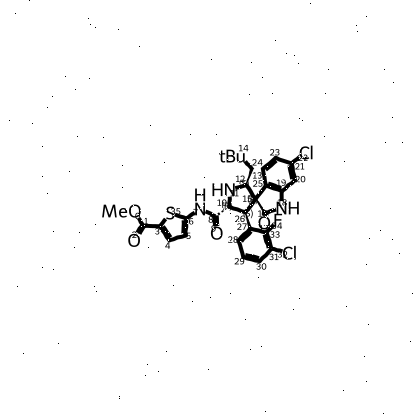 COC(=O)c1ccc(NC(=O)[C@@H]2N[C@@H](CC(C)(C)C)[C@@]3(C(=O)Nc4cc(Cl)ccc43)[C@H]2c2cccc(Cl)c2F)s1